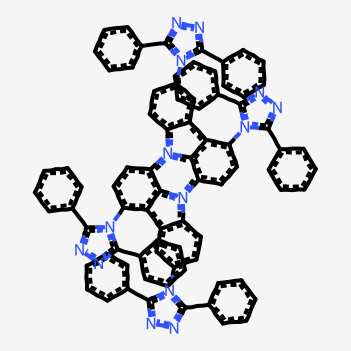 c1ccc(-c2nnc(-c3ccccc3)n2-c2ccc3c(c2)c2c(-n4c(-c5ccccc5)nnc4-c4ccccc4)ccc4c2n3c2ccc(-n3c(-c5ccccc5)nnc3-c3ccccc3)c3c5cc(-n6c(-c7ccccc7)nnc6-c6ccccc6)ccc5n4c32)cc1